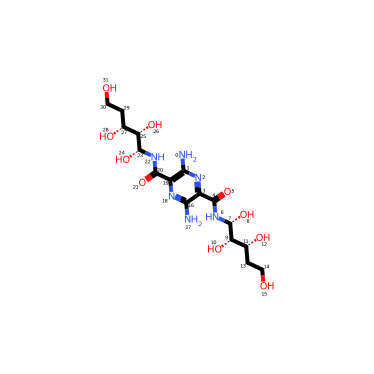 Nc1nc(C(=O)N[C@H](O)[C@@H](O)[C@H](O)CCO)c(N)nc1C(=O)N[C@H](O)[C@@H](O)[C@H](O)CCO